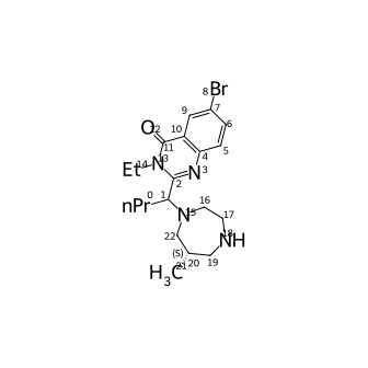 CCCC(c1nc2ccc(Br)cc2c(=O)n1CC)N1CCNC[C@H](C)C1